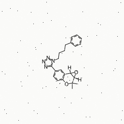 CC1(C)Oc2ccc(-c3nnnn3CCCCc3ccccc3)cc2[C@@H]2O[C@@H]21